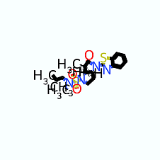 CC(C)CN(C)S(=O)(=O)N1CC[C@H]2[C@H]1[C@H](C)C(=O)N2c1nc2ccccc2s1